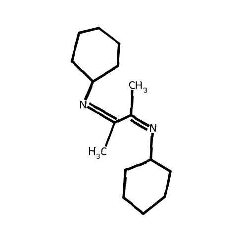 CC(=N/C1CCCCC1)/C(C)=N\C1CCCCC1